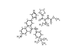 COC(=O)N[C@H](C(=O)N1CCC[C@H]1c1nc(-c2ccc(-c3ccc(N)cc3)c(C(=O)Nc3ccc(C(C)(C)C)cc3)c2)c[nH]1)C(C)C